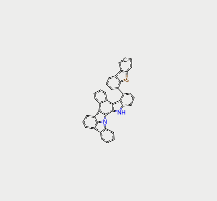 c1cc(-c2cccc3c2sc2ccccc23)c2c(c1)[nH]c1c2c2ccccc2c2c3cccc4c5ccccc5n(c43)c12